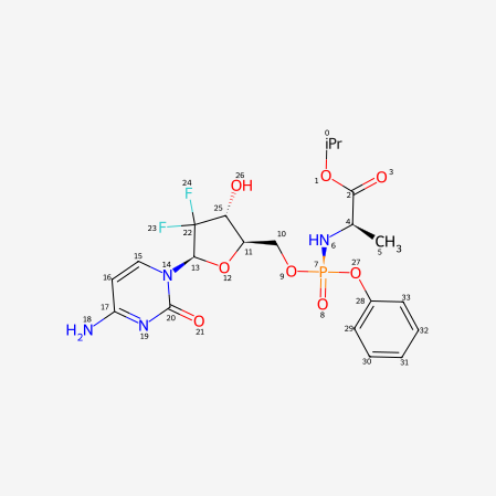 CC(C)OC(=O)[C@@H](C)N[P@@](=O)(OC[C@H]1O[C@@H](n2ccc(N)nc2=O)C(F)(F)[C@@H]1O)Oc1ccccc1